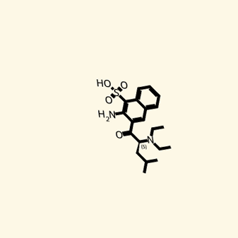 CCN(CC)[C@@H](CC(C)C)C(=O)c1cc2ccccc2c(S(=O)(=O)O)c1N